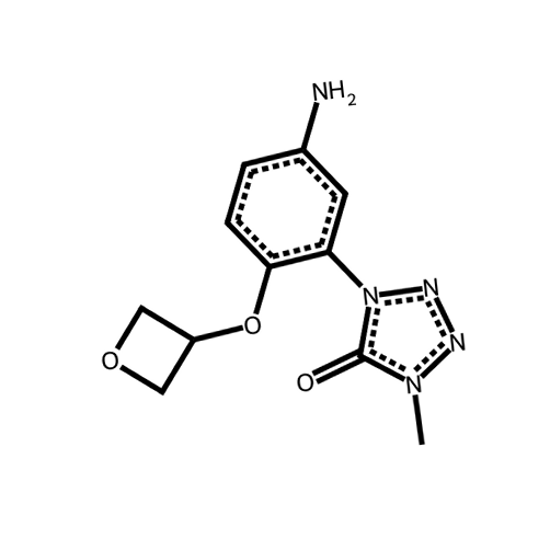 Cn1nnn(-c2cc(N)ccc2OC2COC2)c1=O